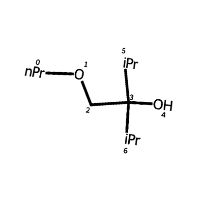 CCCOCC(O)(C(C)C)C(C)C